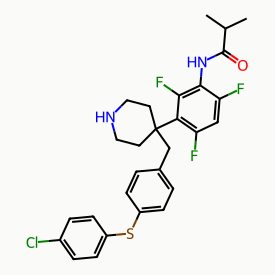 CC(C)C(=O)Nc1c(F)cc(F)c(C2(Cc3ccc(Sc4ccc(Cl)cc4)cc3)CCNCC2)c1F